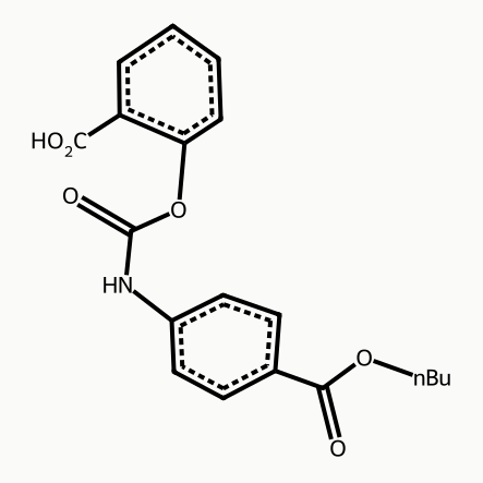 CCCCOC(=O)c1ccc(NC(=O)Oc2ccccc2C(=O)O)cc1